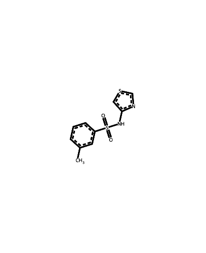 Cc1cccc(S(=O)(=O)Nc2cscn2)c1